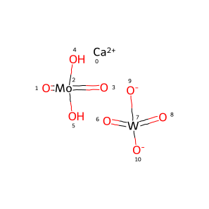 [Ca+2].[O]=[Mo](=[O])([OH])[OH].[O]=[W](=[O])([O-])[O-]